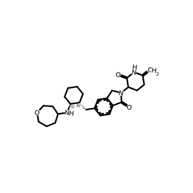 C=C1CCC(N2Cc3cc(C[C@H]4CCCC[C@@H]4NC4CCCOCC4)ccc3C2=O)C(=O)N1